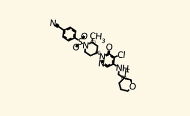 C[C@H]1C[C@H](n2ncc(NC[C@@]3(F)CCCOC3)c(Cl)c2=O)CCN1S(=O)(=O)c1ccc(C#N)cc1